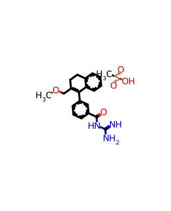 COCC1=C(c2cccc(C(=O)NC(=N)N)c2)c2ccccc2CC1.CS(=O)(=O)O